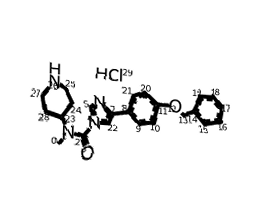 CN(C(=O)n1cnc(-c2ccc(OCc3ccccc3)cc2)c1)C1CCNCC1.Cl